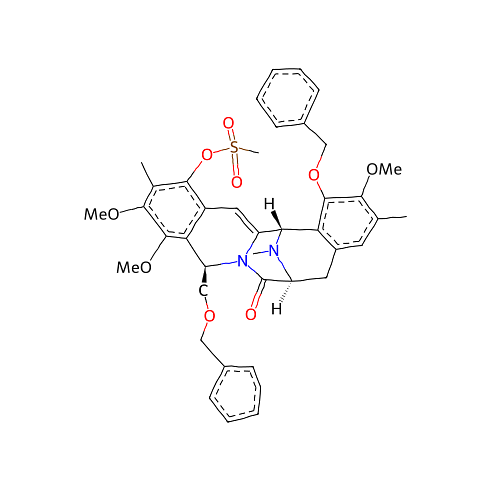 COc1c(C)cc2c(c1OCc1ccccc1)[C@H]1C3=Cc4c(OS(C)(=O)=O)c(C)c(OC)c(OC)c4[C@H](COCc4ccccc4)N3C(=O)[C@H](C2)N1C